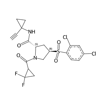 C#CC1(NC(=O)[C@@H]2C[C@@H](S(=O)(=O)c3ccc(Cl)cc3Cl)CN2C(=O)C2CC2(F)F)CC1